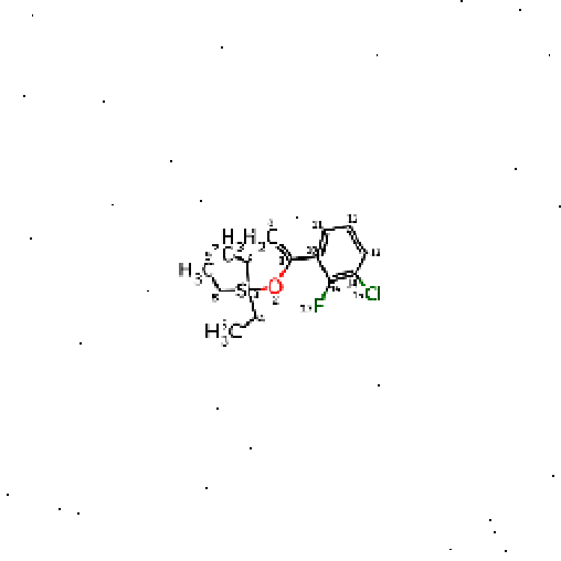 C=C(O[Si](CC)(CC)CC)c1cccc(Cl)c1F